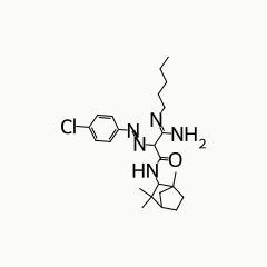 CCCCC/N=C(\N)C(/N=N/c1ccc(Cl)cc1)C(=O)NC1C2(C)CCC(C2)C1(C)C